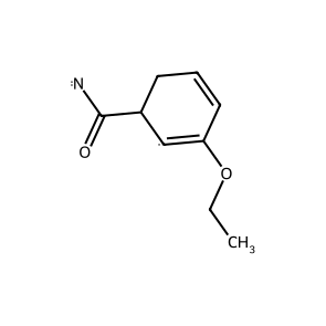 CCOC1=[C]C(C([N])=O)CC=C1